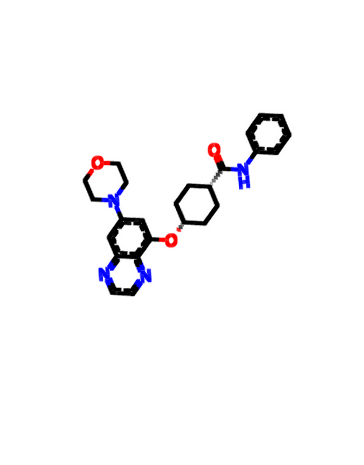 O=C(Nc1ccccc1)[C@H]1CC[C@@H](Oc2cc(N3CCOCC3)cc3nccnc23)CC1